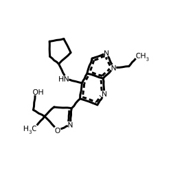 CCn1ncc2c(NC3CCCC3)c(C3=NOC(C)(CO)C3)cnc21